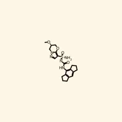 CO[C@H]1COc2c([S@@](N)(=O)=NC(=O)Nc3c4c(cc5c3CCC5)CCC4)cnn2C1